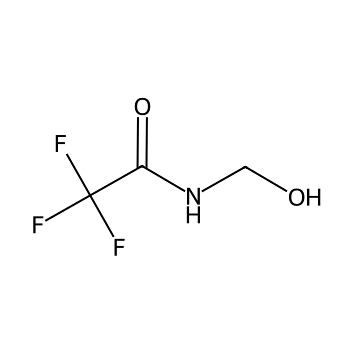 O=C(NCO)C(F)(F)F